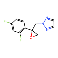 Fc1ccc(C2(Cn3nccn3)CO2)c(F)c1